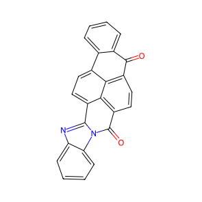 O=C1c2ccccc2-c2ccc3c4c2c1ccc4c(=O)n1c2ccccc2nc31